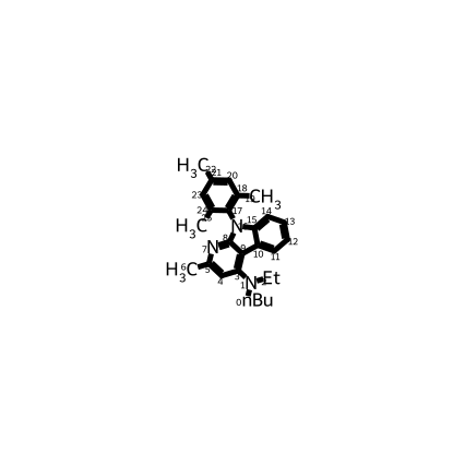 CCCCN(CC)c1cc(C)nc2c1c1ccccc1n2-c1c(C)cc(C)cc1C